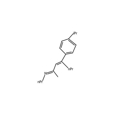 CCC/N=C(C)/C=C(\CCC)c1ccc(C(C)C)cc1